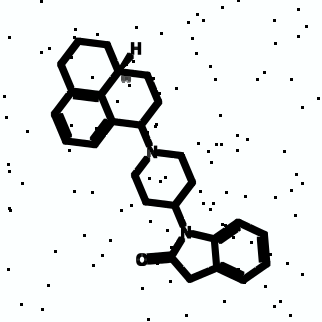 O=C1Cc2ccccc2N1C1CCN(C2CC[C@H]3CCCc4cccc2c43)CC1